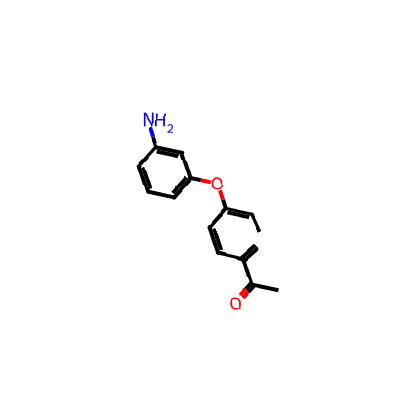 C=C(/C=C\C(=C/C)Oc1cccc(N)c1)C(C)=O